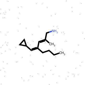 CCCCC(=C/C1CC1)/C=C(\C)CN